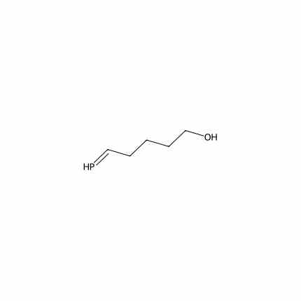 OCCCCC=P